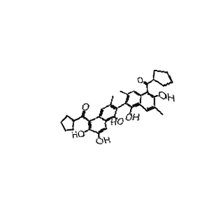 Cc1cc2c(O)c(-c3c(C)cc4c(C(=O)C5CCCC5)c(O)c(O)cc4c3O)c(C)cc2c(C(=O)C2CCCC2)c1O